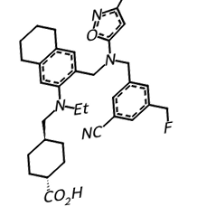 CCN(C[C@H]1CC[C@H](C(=O)O)CC1)c1cc2c(cc1CN(Cc1cc(C#N)cc(CF)c1)c1cc(C)no1)CCCC2